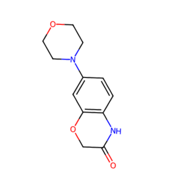 O=C1COc2cc(N3CCOCC3)ccc2N1